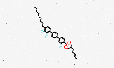 C/C=C/CCC1COC(c2ccc(-c3ccc(-c4ccc(CCCCCCCCC)c(F)c4F)cc3)cc2F)OC1